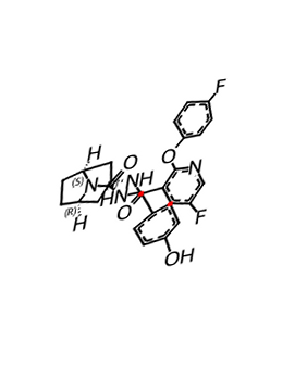 O=C(N[C@@H]1C[C@H]2CC[C@@H](C1)N2C(=O)NCc1ccc(O)cc1)c1cc(F)cnc1Oc1ccc(F)cc1